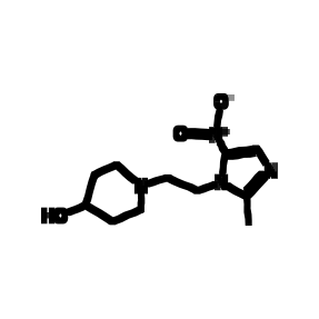 Cc1ncc([N+](=O)[O-])n1CCN1CCC(O)CC1